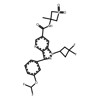 CC1(NC(=O)c2cnc3c(-c4cccc(OC(F)F)c4)nn(C4CC(F)(F)C4)c3c2)CS(=O)(=O)C1